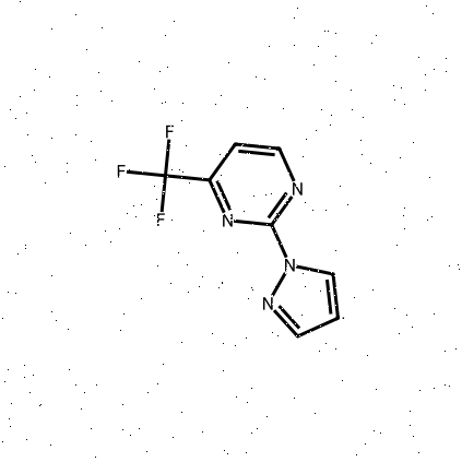 FC(F)(F)c1ccnc(-n2c[c]cn2)n1